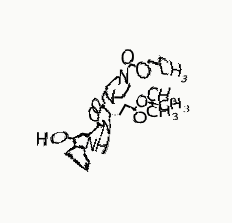 CCOC(=O)N1CCN(C(=O)[C@H](CCC(=O)OC(C)(C)C)NC(=O)c2cc(O)c3ccccc3n2)CC1